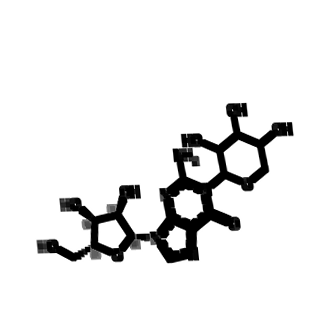 Nc1nc2c(ncn2[C@@H]2O[C@H](CO)[C@@H](O)[C@H]2O)c(=O)n1C1OCC(O)C(O)C1O